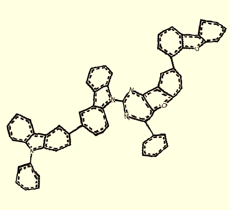 c1ccc(-c2nc(-n3c4ccccc4c4cc(-c5ccc6c(c5)c5ccccc5n6-c5ccccc5)ccc43)nc3c2oc2ccc(-c4cccc5c4oc4ccccc45)cc23)cc1